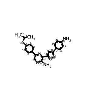 CC(C)Sc1ccc(-c2cnc(N)c(-c3cc(-c4ccc(N)cc4)no3)n2)cc1